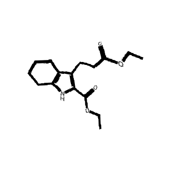 CCOC(=O)CCc1c(C(=O)OCC)[nH]c2c1CCCC2